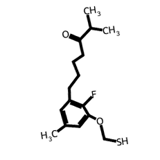 Cc1cc(CCCCC(=O)C(C)C)c(F)c(OCS)c1